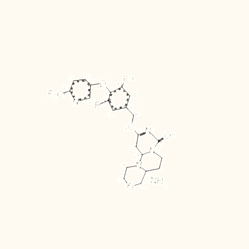 N[C@@]12CCN3C(=O)N=C(OCc4cc(F)c(Oc5ccc(C(F)(F)F)nc5)c(F)c4)CC3N1CCOC2